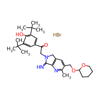 Br.Cc1nc2c(cc1COC1CCCCO1)CN(CC(=O)c1cc(C(C)(C)C)c(O)c(C(C)(C)C)c1)C2=N